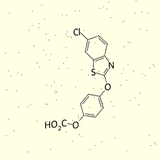 O=C(O)Oc1ccc(Oc2nc3ccc(Cl)cc3s2)cc1